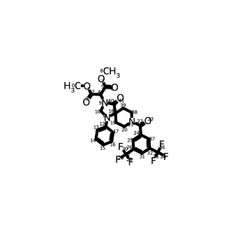 COC(=O)C(C(=O)OC)N1CN(c2ccccc2)C2(CCN(C(=O)c3cc(C(F)(F)F)cc(C(F)(F)F)c3)CC2)C1=O